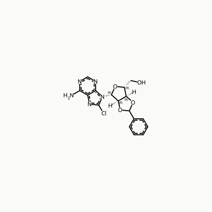 Nc1ncnc2c1nc(Cl)n2[C@@H]1O[C@H](CO)[C@H]2OC(c3ccccc3)O[C@H]21